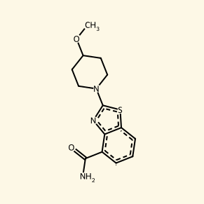 COC1CCN(c2nc3c(C(N)=O)[c]ccc3s2)CC1